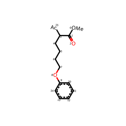 COC(=O)C(CCCCOc1ccccc1)C(C)=O